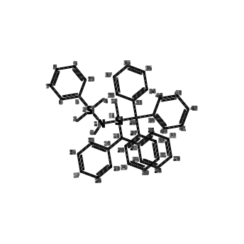 CN([Si](C)(C)c1ccccc1)[Si](C)(C(c1ccccc1)c1ccccc1)C(c1ccccc1)(c1ccccc1)c1ccccc1